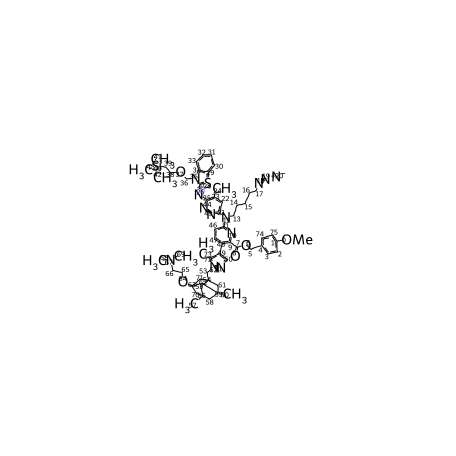 COc1ccc(COC(=O)c2nc(N(CCCCCN=[N+]=[N-])c3cc(C)c(/N=c4\sc5ccccc5n4COCC[Si](C)(C)C)nn3)ccc2-c2cnn(CC34CC5(C)CC(C)(C3)CC(OCCN(C)C)(C5)C4)c2C)cc1